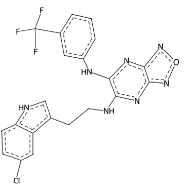 FC(F)(F)c1cccc(Nc2nc3nonc3nc2NCCc2c[nH]c3ccc(Cl)cc23)c1